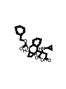 O=CCC(NC1CC1)(C(=O)O)C1c2ccccc2N(C(=O)OCc2ccccc2)[C@@H]2CC[C@H]12